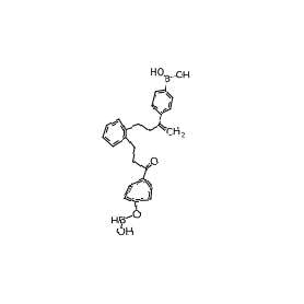 C=C(CCc1ccccc1CCC(=O)c1ccc(OBO)cc1)c1ccc(B(O)O)cc1